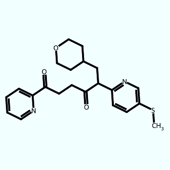 CSc1ccc(C(CC2CCOCC2)C(=O)CCC(=O)c2ccccn2)nc1